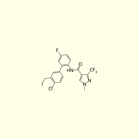 Cn1cc(C(=O)Nc2ccc(F)cc2-c2ccc(Cl)c(CI)c2)c(C(F)(F)F)n1